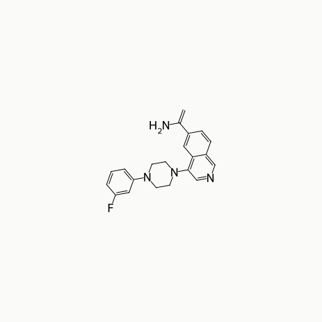 C=C(N)c1ccc2cncc(N3CCN(c4cccc(F)c4)CC3)c2c1